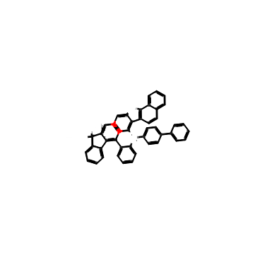 CC1(C)c2ccccc2-c2c(-c3ccccc3N(c3ccc(-c4ccccc4)cc3)c3cccc4oc5c6ccccc6ccc5c34)cccc21